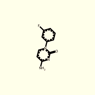 Nc1ccn(-c2cccc(F)c2)c(=O)n1